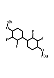 CCCCOC1CCC(C2CCC(OCCCC)C(F)C2F)C(F)C1F